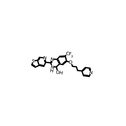 OC1NC(c2cc3ccsc3cn2)=Nc2cc(C(F)(F)F)c(OCCCc3ccncc3)cc21